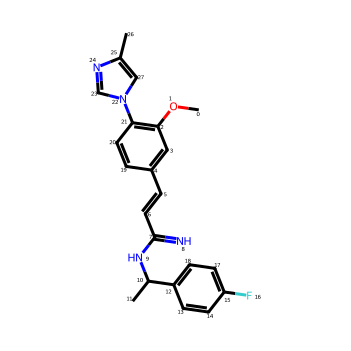 COc1cc(/C=C/C(=N)NC(C)c2ccc(F)cc2)ccc1-n1cnc(C)c1